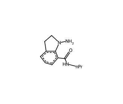 CCCNC(=O)c1cccc2c1N(N)CC2